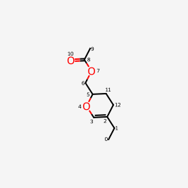 CCC1=COC(COC(C)=O)CC1